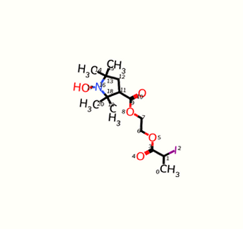 CC(I)C(=O)OCCOC(=O)C1CC(C)(C)N(O)C1(C)C